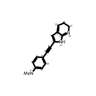 CNc1ccc(C#Cc2cc3c([nH]2)=NCCC=3)cc1